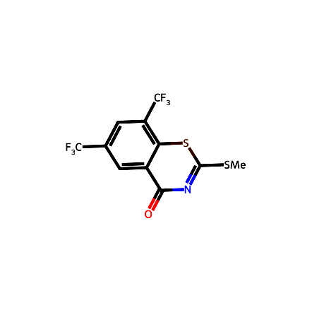 CSc1nc(=O)c2cc(C(F)(F)F)cc(C(F)(F)F)c2s1